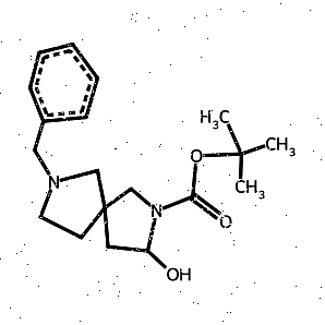 CC(C)(C)OC(=O)N1CC2(CCN(Cc3ccccc3)C2)CC1O